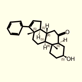 C[C@]12CC[C@H](O)C[C@@H]1C(=O)C[C@@H]1[C@@H]2CC[C@]2(C)C(c3ccccc3)=CC[C@@H]12